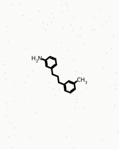 Cc1cccc(CCCc2cccc(N)c2)c1